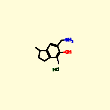 CC1CCc2c1cc(CN)c(O)c2I.Cl